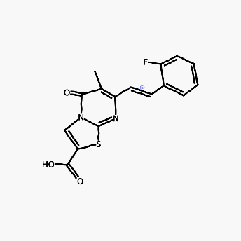 Cc1c(/C=C/c2ccccc2F)nc2sc(C(=O)O)cn2c1=O